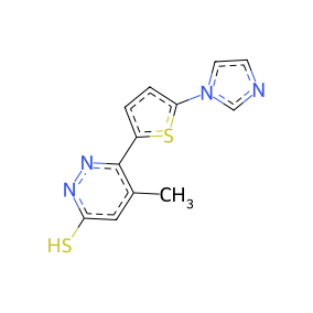 Cc1cc(S)nnc1-c1ccc(-n2ccnc2)s1